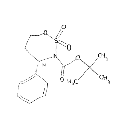 CC(C)(C)OC(=O)N1[C@H](c2ccccc2)CCOS1(=O)=O